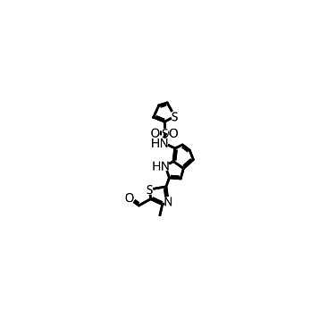 Cc1nc(-c2cc3cccc(NS(=O)(=O)c4cccs4)c3[nH]2)sc1C=O